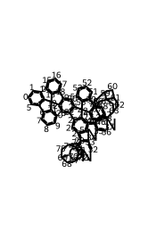 c1ccc2c(c1)-c1ccccc1C21c2ccccc2-c2cc3c(cc21)-c1cc2c4c5c(ncc4n4c6cnc7c(c6c(c1C31c3ccccc3-c3ccccc31)c24)C1CC2CC3CC7CC32C1)C1CC2CC(C1)CC5C2